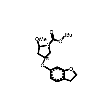 COC1C[C@H](Oc2ccc3c(c2)OCC3)CN1C(=O)OC(C)(C)C